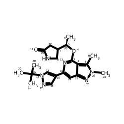 Cc1c2c(O[C@H](C)C3CNC(=O)C3)nc(-c3cnn(C(C)(C)C)c3)cc2nn1C